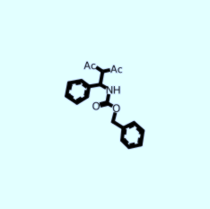 CC(=O)C(C(C)=O)C(NC(=O)OCc1ccccc1)c1ccccc1